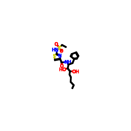 CCCCCC(O)C(O)C(Cc1ccccc1)NC(=O)c1csc(NS(=O)(=O)CC)n1